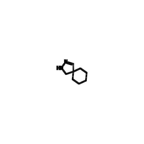 C1=NNCC12CCCCC2